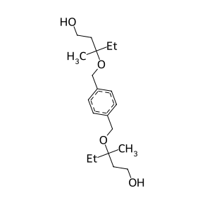 CCC(C)(CCO)OCc1ccc(COC(C)(CC)CCO)cc1